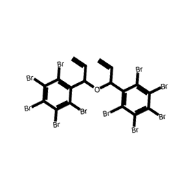 C=CC(OC(C=C)c1c(Br)c(Br)c(Br)c(Br)c1Br)c1c(Br)c(Br)c(Br)c(Br)c1Br